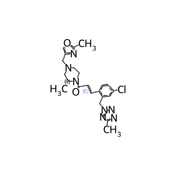 Cc1nnn(Cc2cc(Cl)ccc2/C=C/C(=O)N2CCN(Cc3coc(C)n3)C[C@H]2C)n1